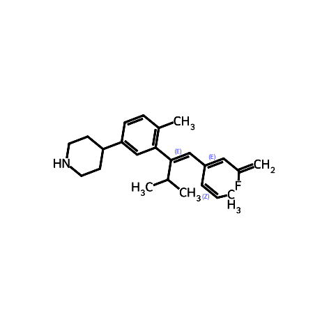 C=C(F)/C=C(\C=C/C)/C=C(/c1cc(C2CCNCC2)ccc1C)C(C)C